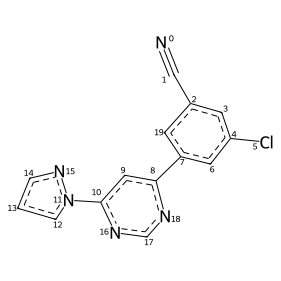 N#Cc1cc(Cl)cc(-c2cc(-n3cccn3)ncn2)c1